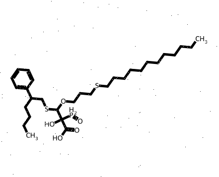 CCCCCCCCCCCCSCCCOC(SCC(CCCC)c1ccccc1)C(O)([PH2]=O)C(=O)O